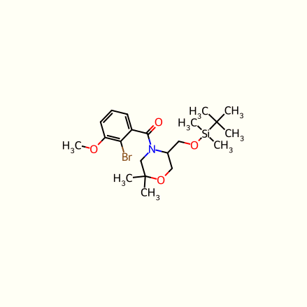 COc1cccc(C(=O)N2CC(C)(C)OCC2CO[Si](C)(C)C(C)(C)C)c1Br